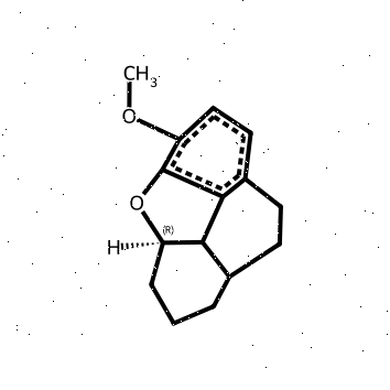 COc1ccc2c3c1O[C@@H]1CCCC(CC2)C31